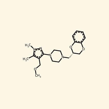 COCc1c(N2CCN(C[C@H]3COc4ccccc4O3)CC2)nn(C)c1C